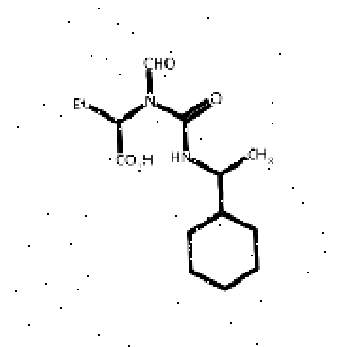 CCC(C(=O)O)N(C=O)C(=O)NC(C)C1CCCCC1